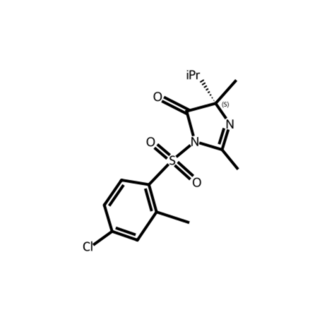 CC1=N[C@@](C)(C(C)C)C(=O)N1S(=O)(=O)c1ccc(Cl)cc1C